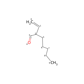 C=CC([C]=O)CCCCC